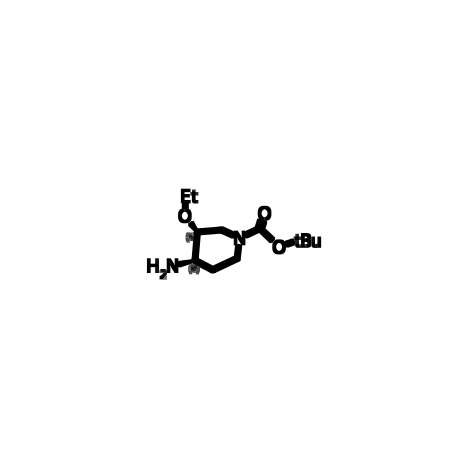 CCO[C@H]1CN(C(=O)OC(C)(C)C)CC[C@H]1N